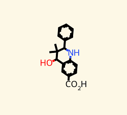 CC1(C)C(O)c2cc(C(=O)O)ccc2NC1c1ccccc1